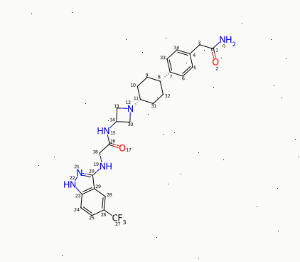 NC(=O)Cc1ccc([C@H]2CC[C@@H](N3CC(NC(=O)CNc4n[nH]c5ccc(C(F)(F)F)cc45)C3)CC2)cc1